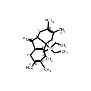 CC[Si](CC)(CC)C12CC(C)=C(C)CC1C(=O)C1=C2CC(C)=C(C)C1